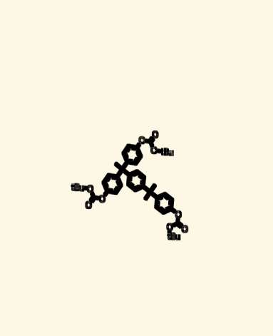 CC(C)(C)OC(=O)Oc1ccc(C(C)(C)c2ccc(C(C)(c3ccc(OC(=O)OC(C)(C)C)cc3)c3ccc(OC(=O)OC(C)(C)C)cc3)cc2)cc1